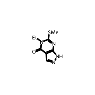 CCn1c(SC)nc2[nH]ncc2c1=O